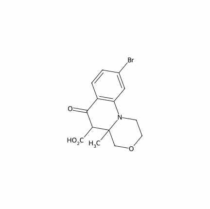 CC12COCCN1c1cc(Br)ccc1C(=O)C2C(=O)O